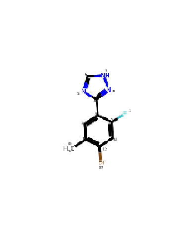 Cc1cc(-c2nc[nH]n2)c(F)cc1Br